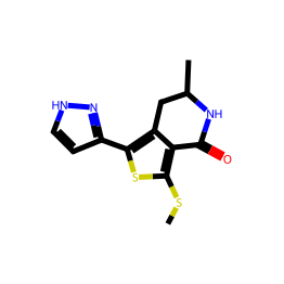 CSc1sc(-c2cc[nH]n2)c2c1C(=O)NC(C)C2